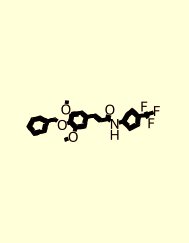 COc1cc(C=CC(=O)Nc2ccc(C(F)(F)F)cc2)cc(OC)c1OCc1ccccc1